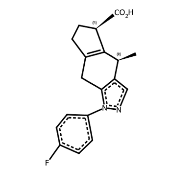 C[C@@H]1C2=C(CC[C@H]2C(=O)O)Cc2c1cnn2-c1ccc(F)cc1